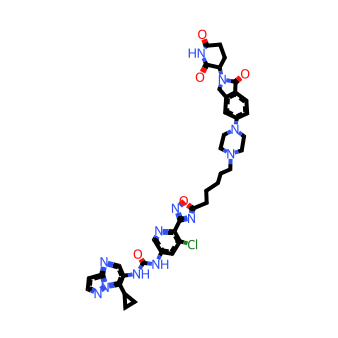 O=C1CCC(N2Cc3cc(N4CCN(CCCCCc5nc(-c6ncc(NC(=O)Nc7cnc8ccnn8c7C7CC7)cc6Cl)no5)CC4)ccc3C2=O)C(=O)N1